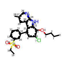 CCCCOc1c(Cl)cc(-c2cccc(S(=O)(=O)CC)c2)c2c1[nH]c1ncc(C)cc12